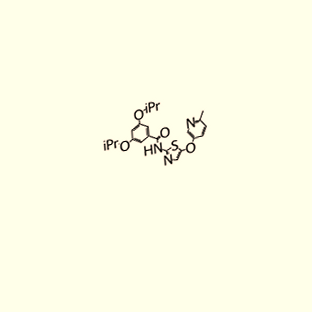 Cc1ccc(Oc2cnc(NC(=O)c3cc(OC(C)C)cc(OC(C)C)c3)s2)cn1